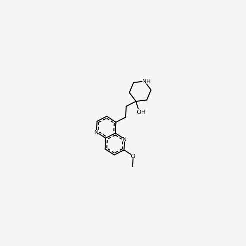 COc1ccc2nccc(CCC3(O)CCNCC3)c2n1